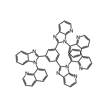 c1cnc2c(-n3c(-c4cc(-c5nc6cccnc6n5-c5cccc6cccnc56)cc(-c5nc6cccnc6n5-c5cccc6cccnc56)c4)nc4ccccc43)cccc2c1